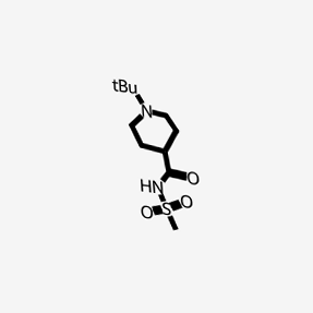 CC(C)(C)N1CCC(C(=O)NS(C)(=O)=O)CC1